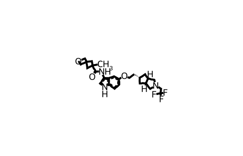 CC1(C(=O)Nc2c[nH]c3ccc(OCC[C@@H]4C[C@@H]5CN(CC(F)(F)F)C[C@@H]5C4)cc23)CC2(COC2)C1